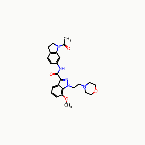 COc1cccc2c(C(=O)Nc3ccc4c(c3)N(C(C)=O)CC4)nn(CCN3CCOCC3)c12